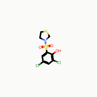 O=S(=O)(c1cc(Cl)cc(Cl)c1O)N1CCSC1